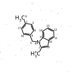 Cc1ccc(Cn2c(C)[c]c3ccccc32)cc1